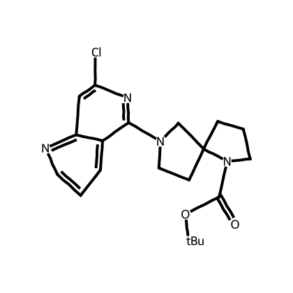 CC(C)(C)OC(=O)N1CCCC12CCN(c1nc(Cl)cc3ncccc13)C2